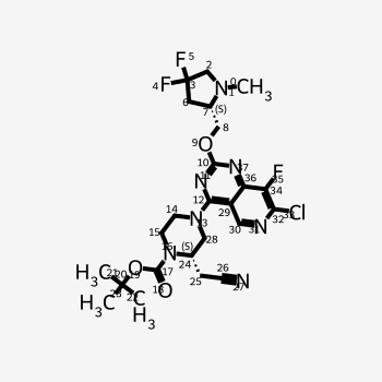 CN1CC(F)(F)C[C@H]1COc1nc(N2CCN(C(=O)OC(C)(C)C)[C@@H](CC#N)C2)c2cnc(Cl)c(F)c2n1